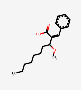 CCCCCCCC(OC)C(=Cc1ccccc1)C(=O)O